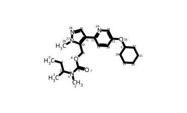 CCC(C)N(C)C(=O)OCc1c(-c2ccc(OC3CCCCC3)cn2)cnn1C